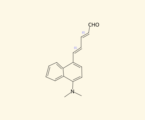 CN(C)c1ccc(/C=C/C=C/C=O)c2ccccc12